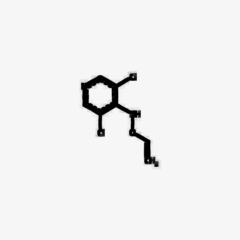 C=CONc1c(Cl)cncc1Cl